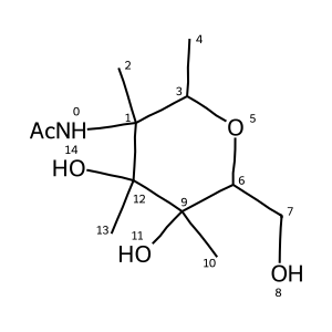 CC(=O)NC1(C)C(C)OC(CO)C(C)(O)C1(C)O